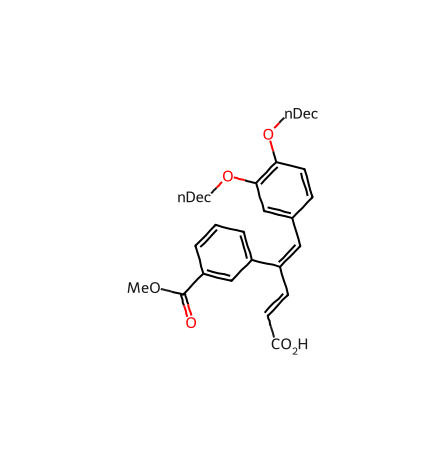 CCCCCCCCCCOc1ccc(/C=C(/C=C/C(=O)O)c2cccc(C(=O)OC)c2)cc1OCCCCCCCCCC